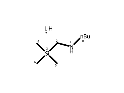 [CH2]CCCNC[Si](C)(C)C.[LiH]